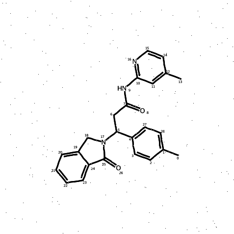 Cc1ccc(C(CC(=O)Nc2cc(C)ccn2)N2Cc3ccccc3C2=O)cc1